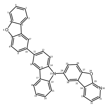 c1ccc2c(c1)oc1ccc(-c3ccc4c(c3)c3ccccc3n4-c3ccc4oc5ncccc5c4c3)cc12